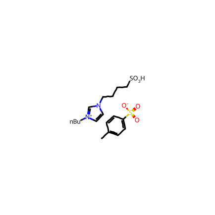 CCCC[n+]1ccn(CCCCS(=O)(=O)O)c1.Cc1ccc(S(=O)(=O)[O-])cc1